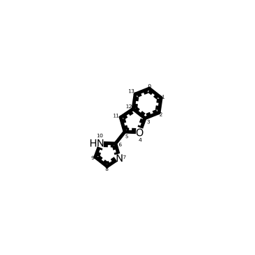 c1ccc2oc(-c3ncc[nH]3)cc2c1